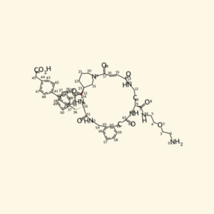 NCCOCCNC(=O)[C@@H]1CCNC(=O)/C=C/C(=O)N2CCC[C@](Cc3ccccc3)(C2)C(=O)N[C@@H](Cc2ccc(-c3ccc(CC(=O)O)cc3)cc2)C(=O)NCc2ccccc2CC(=O)N1